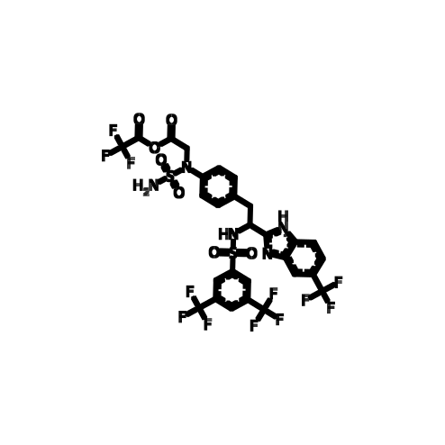 NS(=O)(=O)N(CC(=O)OC(=O)C(F)(F)F)c1ccc(CC(NS(=O)(=O)c2cc(C(F)(F)F)cc(C(F)(F)F)c2)c2nc3cc(C(F)(F)F)ccc3[nH]2)cc1